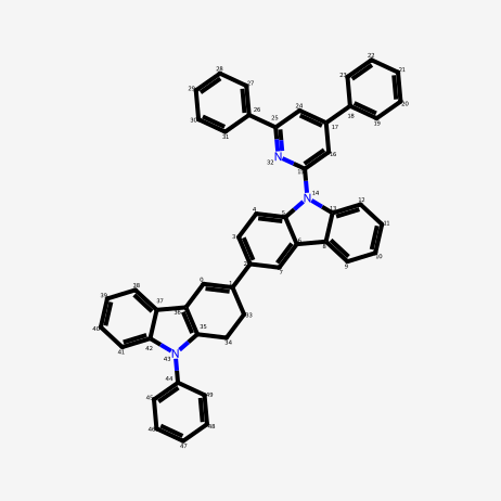 C1=C(c2ccc3c(c2)c2ccccc2n3-c2cc(-c3ccccc3)cc(-c3ccccc3)n2)CCc2c1c1ccccc1n2-c1ccccc1